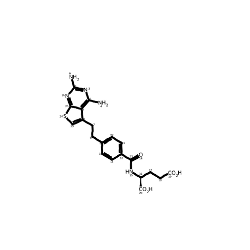 Nc1nc(N)c2c(CCc3ccc(C(=O)N[C@@H](CCC(=O)O)C(=O)O)cc3)csc2n1